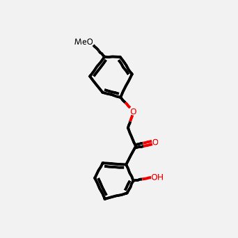 COc1ccc(OCC(=O)c2ccccc2O)cc1